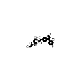 O=CC(C(=O)N1CCC[C@H](NC(=O)CCl)C1)c1ccc2c(-c3ccc(F)cc3Cl)cc(=O)oc2c1